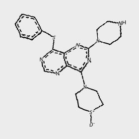 [O-][S+]1CCN(c2nc(N3CCNCC3)nc3c(Sc4ccccc4)ncnc23)CC1